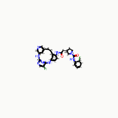 O=C(C[C@H]1CCN(C(=O)Nc2ccccc2F)C1)Nc1ccc2cc1CCc1cncc(c1)Nc1ncc(Cl)c(n1)N2